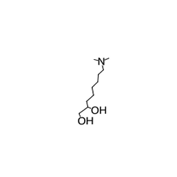 CN(C)CCCCCCC(O)CO